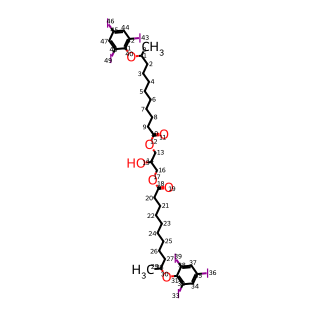 CC(CCCCCCCCC(=O)OCC(O)COC(=O)CCCCCCCCC(C)Oc1c(I)cc(I)cc1I)Oc1c(I)cc(I)cc1I